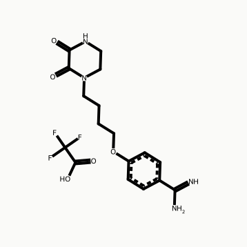 N=C(N)c1ccc(OCCCCN2CCNC(=O)C2=O)cc1.O=C(O)C(F)(F)F